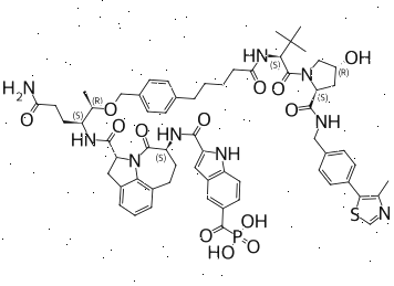 Cc1ncsc1-c1ccc(CNC(=O)[C@@H]2C[C@@H](O)CN2C(=O)[C@@H](NC(=O)CCCCc2ccc(CO[C@H](C)[C@H](CCC(N)=O)NC(=O)C3Cc4cccc5c4N3C(=O)[C@@H](NC(=O)c3cc4cc(C(=O)P(=O)(O)O)ccc4[nH]3)CC5)cc2)C(C)(C)C)cc1